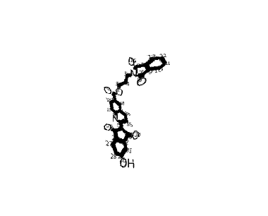 O=C(OCCCN1C(=O)c2ccccc2C1=O)c1ccc2nc(C3C(=O)c4ccc(O)cc4C3=O)ccc2c1